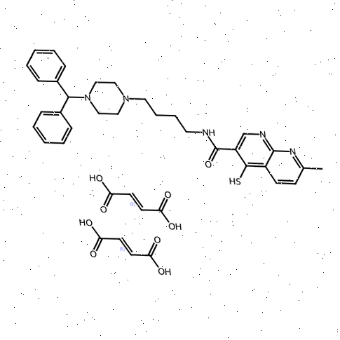 Cc1ccc2c(S)c(C(=O)NCCCCN3CCN(C(c4ccccc4)c4ccccc4)CC3)cnc2n1.O=C(O)/C=C/C(=O)O.O=C(O)/C=C/C(=O)O